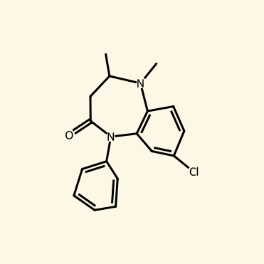 CC1CC(=O)N(c2ccccc2)c2cc(Cl)ccc2N1C